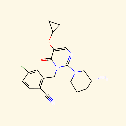 N#Cc1ccc(F)cc1Cn1c(N2CCC[C@@H](N)C2)ncc(OC2CC2)c1=O